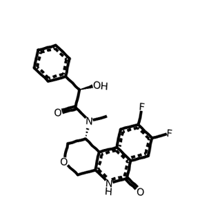 CN(C(=O)[C@H](O)c1ccccc1)[C@H]1COCc2[nH]c(=O)c3cc(F)c(F)cc3c21